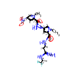 Cn1cc(NC(=O)c2cc([N+](=O)[O-])cn2C)cc1C(=O)NCCC(=N)NCC(F)F